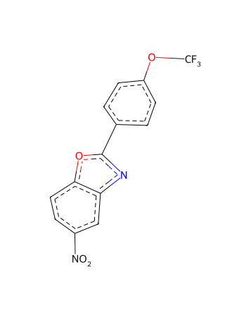 O=[N+]([O-])c1ccc2oc(-c3ccc(OC(F)(F)F)cc3)nc2c1